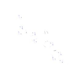 CC(C)C(c1ccc(-c2cnc(N)nc2)nc1)c1noc(-c2cnn(CCN(C)C)c2)n1